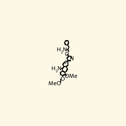 COCCOc1ccc2c(c1OC)C=CC1=CN(c3cncc(OC[C@H](N)Cc4ccccc4)c3)C=CC1=C2N